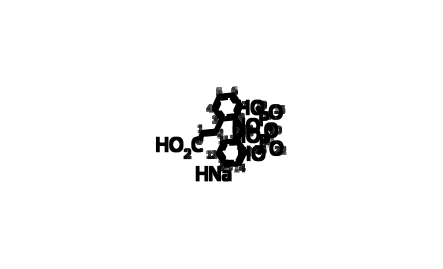 O=C(O)/C=C/c1ccccc1Cc1ccccc1.O=P(O)(O)OP(=O)(O)O.[NaH]